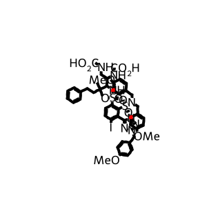 COc1ccc(CN(Cc2ccc(OC)cc2)S(=O)(=O)c2c(S(=O)(=O)NC(C(CNC(=O)O)NC(=O)O)C(C)(C)CCc3ccccc3)ccc(I)c2-c2nnn(Cc3ccc(OC)cc3)n2)cc1